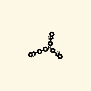 C1=C(C2=CC=C(N(c3ccc(-c4cc5ccccc5o4)cc3)c3ccc(-c4cc5ccccc5o4)cc3)CC2)CCC(c2cc3ccccn3c2)=C1